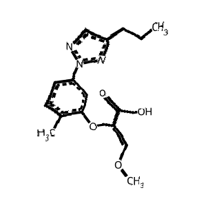 CCCc1cnn(-c2ccc(C)c(O/C(=C\OC)C(=O)O)c2)n1